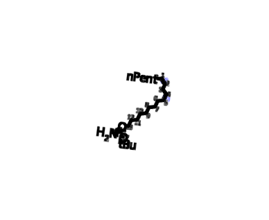 CCCCC/C=C\C/C=C\CCCCCCCCOP(N)OC(C)(C)C